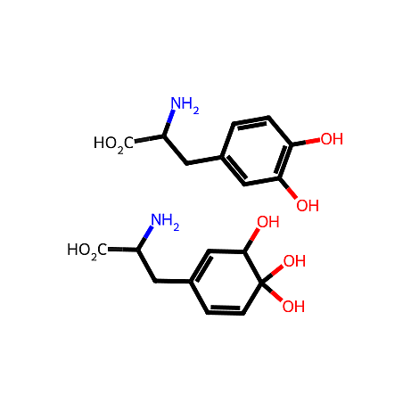 NC(CC1=CC(O)C(O)(O)C=C1)C(=O)O.NC(Cc1ccc(O)c(O)c1)C(=O)O